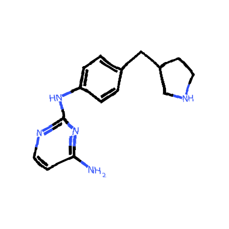 Nc1ccnc(Nc2ccc(CC3CCNC3)cc2)n1